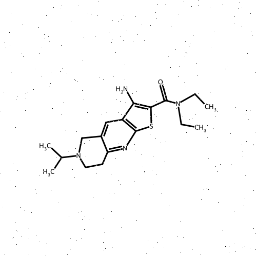 CCN(CC)C(=O)c1sc2nc3c(cc2c1N)CN(C(C)C)CC3